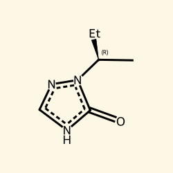 CC[C@@H](C)n1nc[nH]c1=O